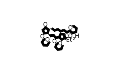 CCC1CCC([C@@H](C=C[C@H]2[C@H](OC3CCCCO3)CC(=O)[C@@H]2CCCCCC(C(=O)O)C2CCCCO2)OC2CCCCO2)C1